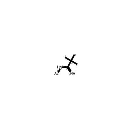 CC(=O)NC(=N)C(C)(C)C